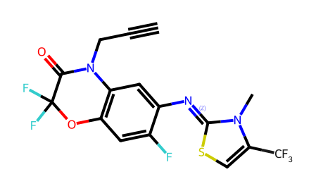 C#CCN1C(=O)C(F)(F)Oc2cc(F)c(/N=c3\scc(C(F)(F)F)n3C)cc21